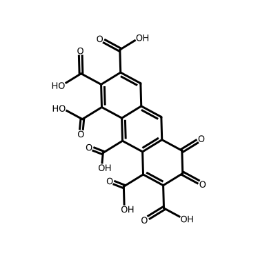 O=C(O)C1=C(C(=O)O)c2c(cc3cc(C(=O)O)c(C(=O)O)c(C(=O)O)c3c2C(=O)O)C(=O)C1=O